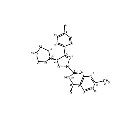 Cc1ccc(C2=NN(C(=O)N[C@H](C)c3cnc(C(F)(F)F)nc3)C[C@H]2N2CCOCC2)cc1